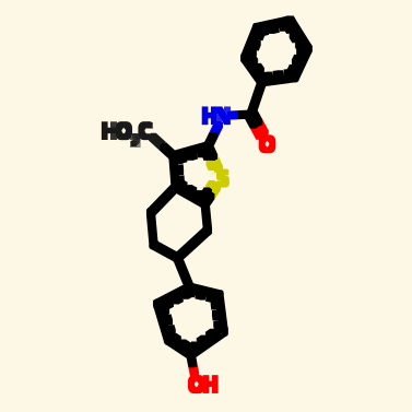 O=C(Nc1sc2c(c1C(=O)O)CCC(c1ccc(O)cc1)C2)c1ccccc1